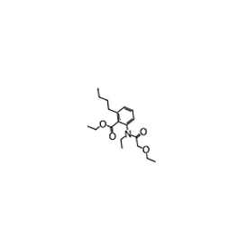 CCCCc1cccc(N(CC)C(=O)COCC)c1C(=O)OCC